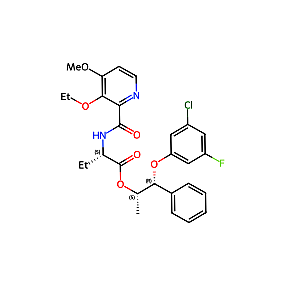 CCOc1c(OC)ccnc1C(=O)N[C@@H](CC)C(=O)O[C@@H](C)[C@H](Oc1cc(F)cc(Cl)c1)c1ccccc1